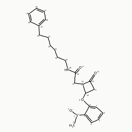 C[S+]([O-])c1ccccc1OC1CC(=O)N1CC(=O)NCCCCCCc1ccccc1